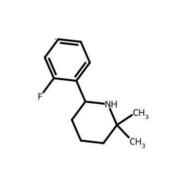 CC1(C)CCCC(c2cc[c]cc2F)N1